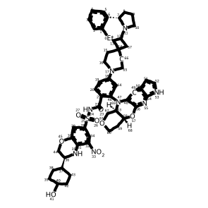 CCc1ccccc1[C@@H]1CCCN1C1CC2(CCN(c3ccc(C(=O)NS(=O)(=O)c4cc5c(c([N+](=O)[O-])c4)N[C@@H](C4CCC(O)CC4)CO5)c(N4c5cc6cc[nH]c6nc5O[C@@H]5CCOC[C@H]54)c3)CC2)C1